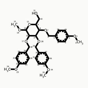 COc1ccc(COC2C(CO)OC(OC)C(OCc3ccc(OC)cc3)C2OCc2ccc(OC)cc2)cc1